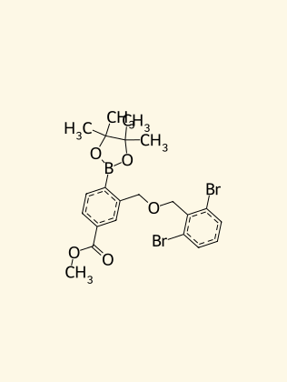 COC(=O)c1ccc(B2OC(C)(C)C(C)(C)O2)c(COCc2c(Br)cccc2Br)c1